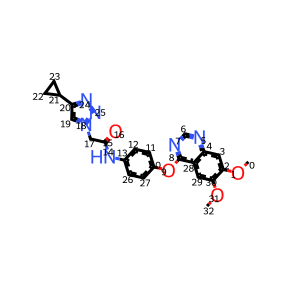 COc1cc2ncnc(Oc3ccc(NC(=O)Cn4cc(C5CC5)nn4)cc3)c2cc1OC